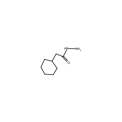 NNC(=O)CC1CCCCC1